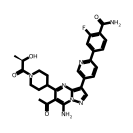 CC(=O)c1c(C2CCN(C(=O)[C@@H](C)O)CC2)nc2c(-c3ccc(-c4ccc(C(N)=O)c(F)c4)nc3)cnn2c1N